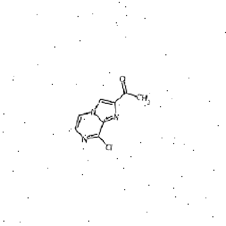 CC(=O)c1cn2ccnc(Cl)c2n1